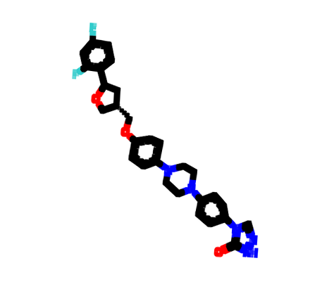 O=c1[nH]ncn1-c1ccc(N2CCN(c3ccc(OC[C@@H]4COC(c5ccc(F)cc5F)C4)cc3)CC2)cc1